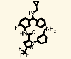 NCc1cccc(-n2nc(C(F)(F)F)cc2C(=O)Nc2cc(C(NCC3CC3)c3ccccc3)ccc2F)c1